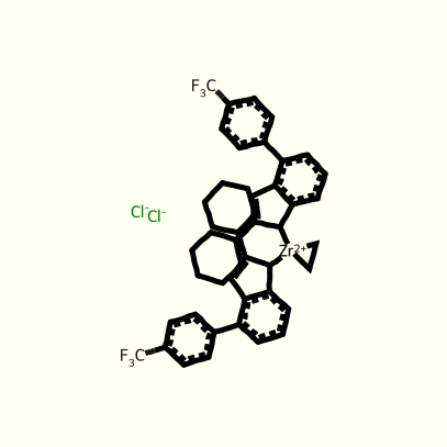 FC(F)(F)c1ccc(-c2cccc3c2C=C(C2CCCCC2)[CH]3[Zr+2]2([CH]3C(C4CCCCC4)=Cc4c(-c5ccc(C(F)(F)F)cc5)cccc43)[CH2][CH2]2)cc1.[Cl-].[Cl-]